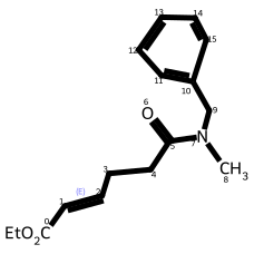 CCOC(=O)/C=C/CCC(=O)N(C)Cc1ccccc1